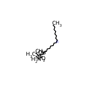 CCCCCCCC/C=C\CCCCCCCCC(O)(C(N)=O)[C@H](N)C(C)C